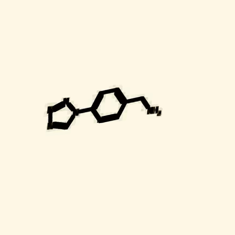 NCc1c[c]c(-n2cnnn2)cc1